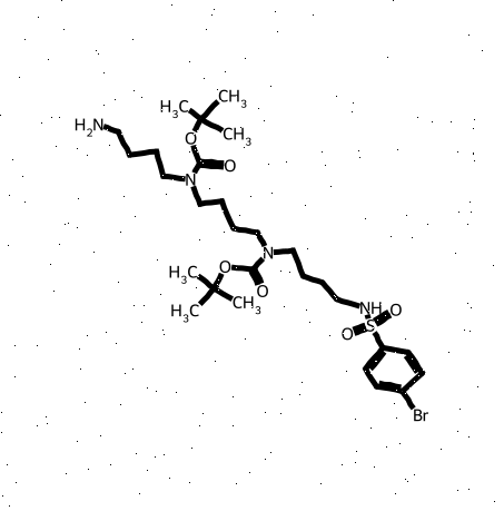 CC(C)(C)OC(=O)N(CCCCN)CCCCN(CCCCNS(=O)(=O)c1ccc(Br)cc1)C(=O)OC(C)(C)C